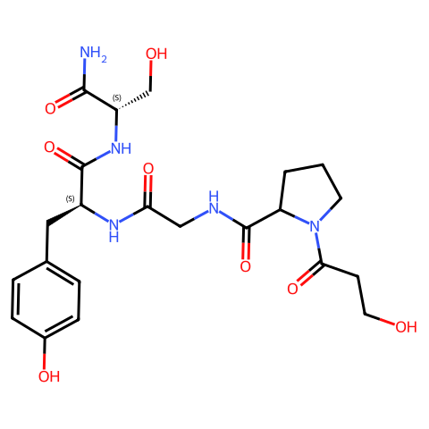 NC(=O)[C@H](CO)NC(=O)[C@H](Cc1ccc(O)cc1)NC(=O)CNC(=O)C1CCCN1C(=O)CCO